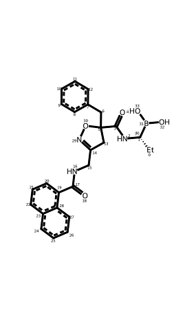 CC[C@H](NC(=O)C1(Cc2ccccc2)CC(CNC(=O)c2cccc3ccccc23)=NO1)B(O)O